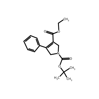 CCOC(=O)C1=C(c2ccccc2)CN(C(=O)OC(C)(C)C)C1